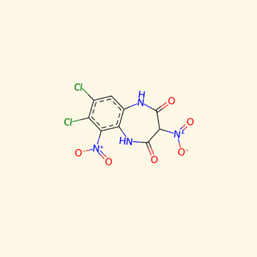 O=C1Nc2cc(Cl)c(Cl)c([N+](=O)[O-])c2NC(=O)C1[N+](=O)[O-]